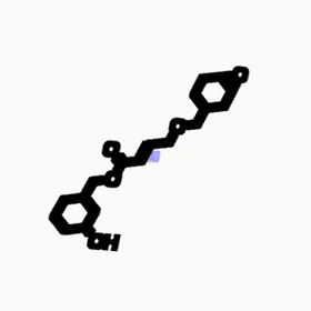 O=C(/C=C/COCC1CCC2OC2C1)OCC1CCCC(O)C1